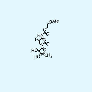 COCCOC(=O)Nc1nc(=O)n([C@@H]2O[C@H](C)[C@@H](O)[C@H]2O)cc1F